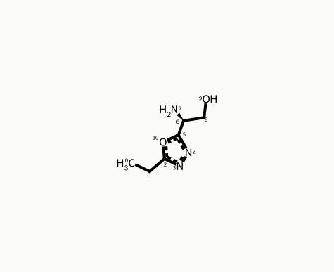 CCc1nnc([C@@H](N)CO)o1